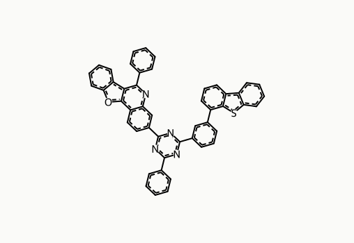 c1ccc(-c2nc(-c3cccc(-c4cccc5c4sc4ccccc45)c3)nc(-c3ccc4c(c3)nc(-c3ccccc3)c3c5ccccc5oc43)n2)cc1